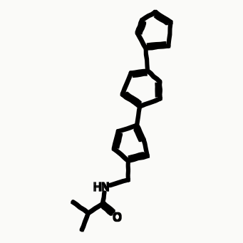 CC(C)C(=O)NCc1ccc(-c2ccc(-c3ccccc3)cc2)cc1